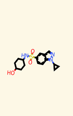 O=S(=O)(NC1CCC(O)CC1)c1ccc2c(cnn2C2CC2)c1